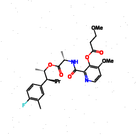 COCCC(=O)Oc1c(OC)ccnc1C(=O)N[C@@H](C)C(=O)O[C@@H](C)[C@H](c1ccc(F)c(C)c1)C(C)C